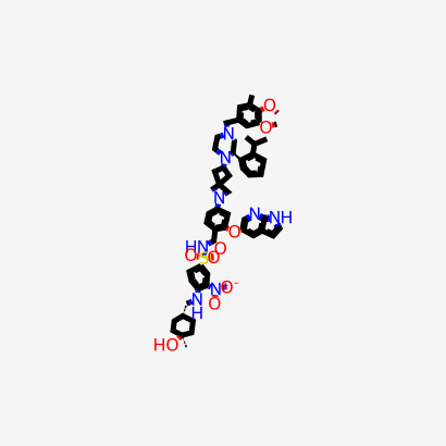 COc1cc(CN2CCN(C3CC4(C3)CN(c3ccc(C(=O)NS(=O)(=O)c5ccc(NC[C@H]6CC[C@](C)(O)CC6)c([N+](=O)[O-])c5)c(Oc5cnc6[nH]ccc6c5)c3)C4)[C@H](c3ccccc3C(C)C)C2)cc(C)c1OC